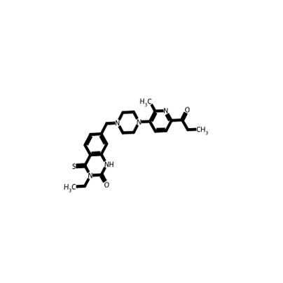 CCC(=O)c1ccc(N2CCN(Cc3ccc4c(=S)n(CC)c(=O)[nH]c4c3)CC2)c(C)n1